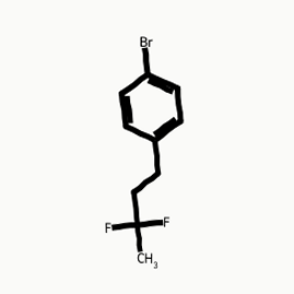 CC(F)(F)CCc1ccc(Br)cc1